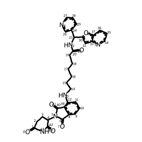 O=C1CCC(N2C(=O)c3cccc(NCCCCCCC(=O)NC(c4cccnc4)c4cc5ncccc5o4)c3C2=O)C(=O)N1